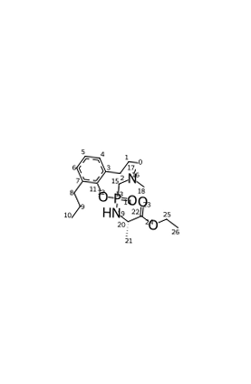 CCCc1cccc(CCC)c1OP(=O)(CN(C)C)N[C@@H](C)C(=O)OCC